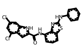 O=C(Nc1cccc2sc(Nc3ccccc3)nc12)c1cc2c(Cl)cc(Cl)cc2[nH]1